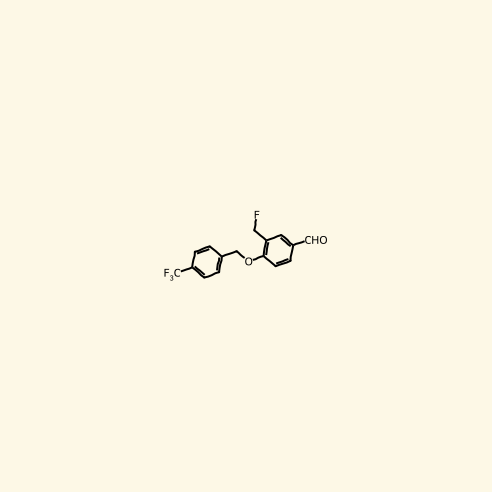 O=Cc1ccc(OCc2ccc(C(F)(F)F)cc2)c(CF)c1